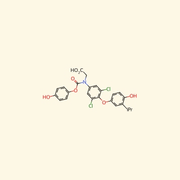 CC(C)c1cc(Oc2c(Cl)cc(N(CC(=O)O)C(=O)Oc3ccc(O)cc3)cc2Cl)ccc1O